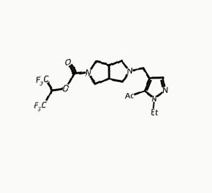 CCn1ncc(CN2CC3CN(C(=O)OC(C(F)(F)F)C(F)(F)F)CC3C2)c1C(C)=O